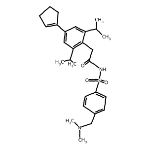 CC(C)c1cc(C2=CCCC2)cc(C(C)C)c1CC(=O)NS(=O)(=O)c1ccc(CN(C)C)cc1